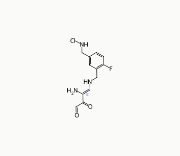 N/C(=C\NCc1cc(CNCl)ccc1F)C(=O)C=O